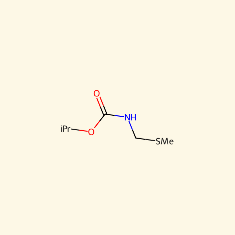 CSCNC(=O)OC(C)C